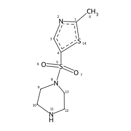 Cc1ncc(S(=O)(=O)N2CCNCC2)s1